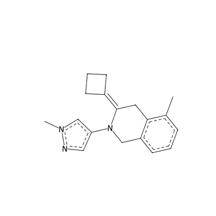 Cc1cccc2c1CC(=C1CCC1)N(c1cnn(C)c1)C2